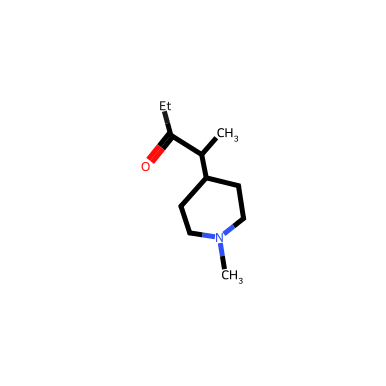 CCC(=O)C(C)C1CCN(C)CC1